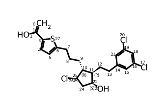 C=C(O)c1ccc(CCC[C@@H]2[C@@H](CCc3cc(Cl)cc(Cl)c3)[C@@H](O)C[C@H]2Cl)s1